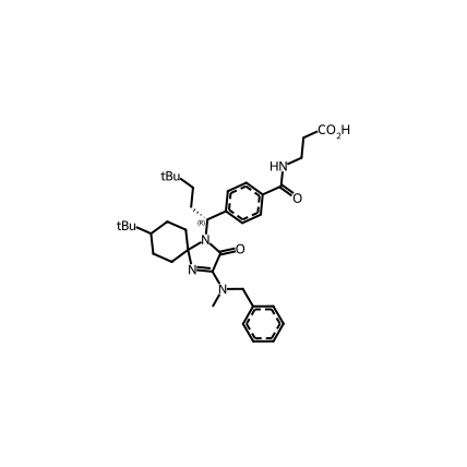 CN(Cc1ccccc1)C1=NC2(CCC(C(C)(C)C)CC2)N([C@H](CCC(C)(C)C)c2ccc(C(=O)NCCC(=O)O)cc2)C1=O